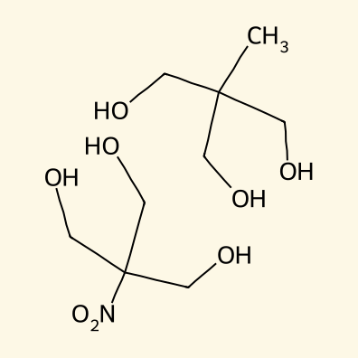 CC(CO)(CO)CO.O=[N+]([O-])C(CO)(CO)CO